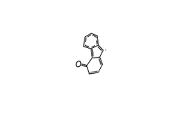 O=C1C=CC=C2[C]=c3ccccc3=C12